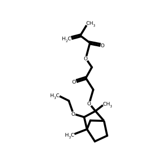 C=C(C)C(=O)OCC(=O)COC1(C)C2CCC(C)(C2)C1OCC